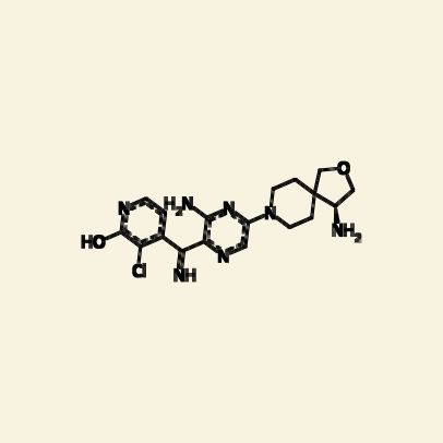 N=C(c1ccnc(O)c1Cl)c1ncc(N2CCC3(CC2)COC[C@H]3N)nc1N